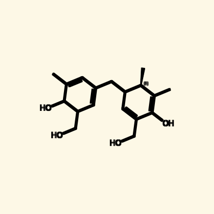 CC1=CC(CC2C=C(CO)C(O)=C(C)[C@@H]2C)=CC(CO)C1O